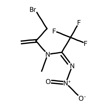 C=C(CBr)N(C)/C(=N\[N+](=O)[O-])C(F)(F)F